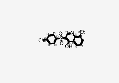 CCc1cccc2c(O)c(S(=O)(=O)c3ccc(Cl)cc3)cnc12